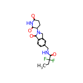 CCC(F)(F)C(=O)NCc1ccc2c(c1)CN(C1CCC(=O)NC1=O)C2=O